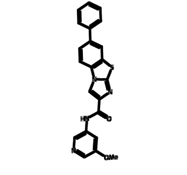 COc1cncc(NC(=O)c2cn3c(n2)sc2cc(-c4ccccc4)ccc23)c1